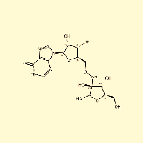 OC[C@H]1OC(O)[C@](O)(NOC[C@H]2O[C@@H](n3cnc4c(=S)[nH]cnc43)[C@H](O)[C@@H]2O)[C@@H]1O